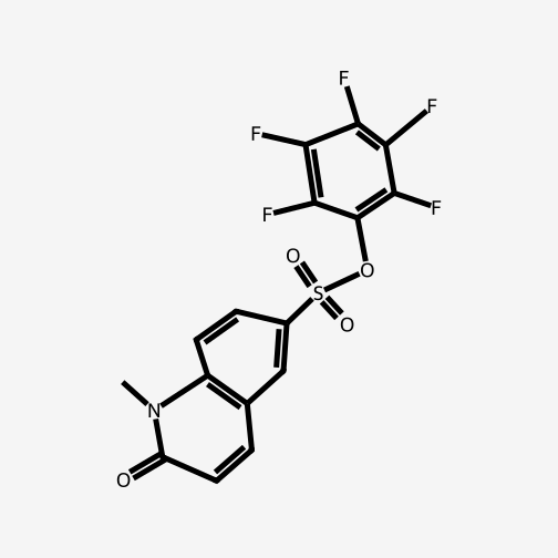 Cn1c(=O)ccc2cc(S(=O)(=O)Oc3c(F)c(F)c(F)c(F)c3F)ccc21